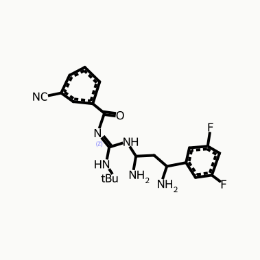 CC(C)(C)N/C(=N/C(=O)c1cccc(C#N)c1)NC(N)CC(N)c1cc(F)cc(F)c1